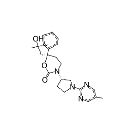 Cc1cnc(N2CC[C@H](N3CC[C@](CC(C)(C)O)(c4ccccc4)OC3=O)C2)nc1